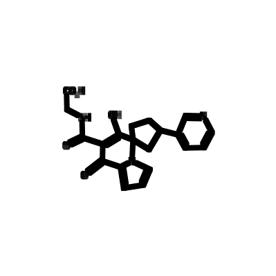 O=C(O)CNC(=O)C1=C(O)C2(CCC(c3cccnc3)C2)n2cccc2C1=O